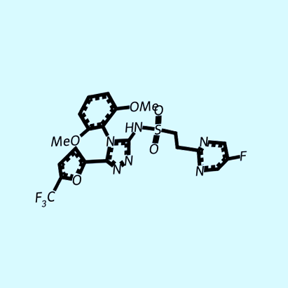 COc1cccc(OC)c1-n1c(NS(=O)(=O)CCc2ncc(F)cn2)nnc1-c1ccc(C(F)(F)F)o1